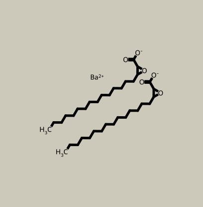 CCCCCCCCCCCCCCCC1OC1C(=O)[O-].CCCCCCCCCCCCCCCC1OC1C(=O)[O-].[Ba+2]